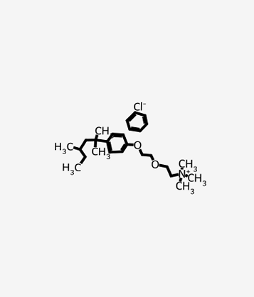 CCC(C)CC(C)(C)c1ccc(OCCOCC[N+](C)(C)C)cc1.[Cl-].c1ccccc1